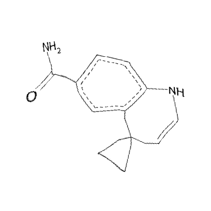 NC(=O)c1ccc2c(c1)C1(C=CN2)CC1